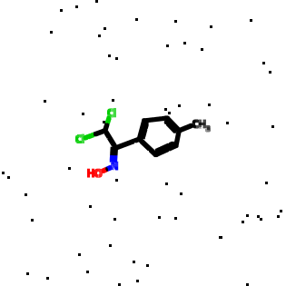 Cc1ccc(C(=NO)C(Cl)Cl)cc1